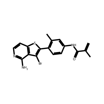 C=C(C)C(=O)Nc1ccc(-c2sc3ccnc(N)c3c2Br)c(C)c1